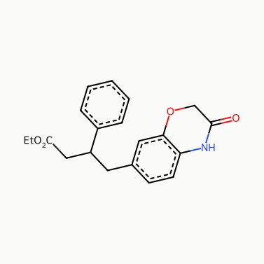 CCOC(=O)CC(Cc1ccc2c(c1)OCC(=O)N2)c1ccccc1